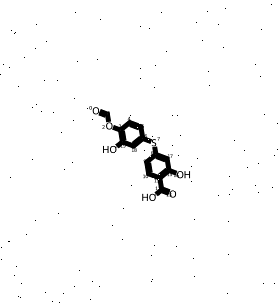 O=COc1ccc(Sc2ccc(C(=O)O)c(O)c2)cc1O